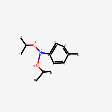 Cc1ccc(N(OC(C)C)OC(C)C)cc1